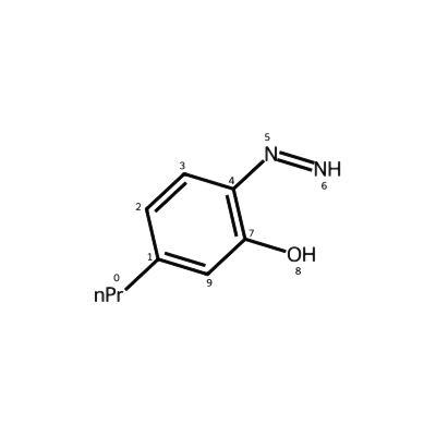 CCCc1ccc(N=N)c(O)c1